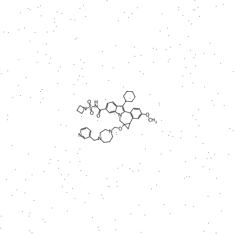 COc1ccc2c(c1)C1CC1(OCN1CCCN(Cc3cccnc3)CC1)Cn1c-2c(C2CCCCC2)c2ccc(C(=O)NS(=O)(=O)N3CCC3)cc21